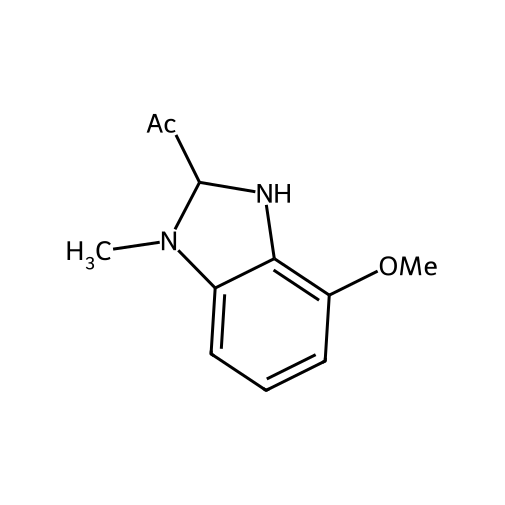 COc1cccc2c1NC(C(C)=O)N2C